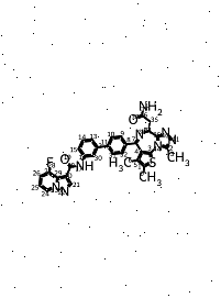 Cc1sc2c(c1C)C(c1ccc(-c3cccc(NC(=O)c4cnn5cccc(F)c45)c3)cc1)=N[C@@H](CC(N)=O)c1nnc(C)n1-2